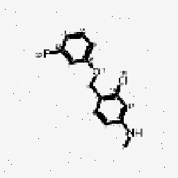 CNc1ccc(COc2cccc(F)c2)c(Cl)c1